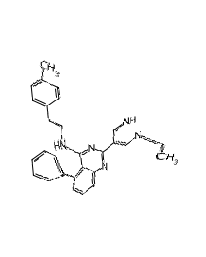 C/C=N\C=C(/C=N)c1nc(NCCc2ccc(C)cc2)c2c(-c3ccccc3)cccc2n1